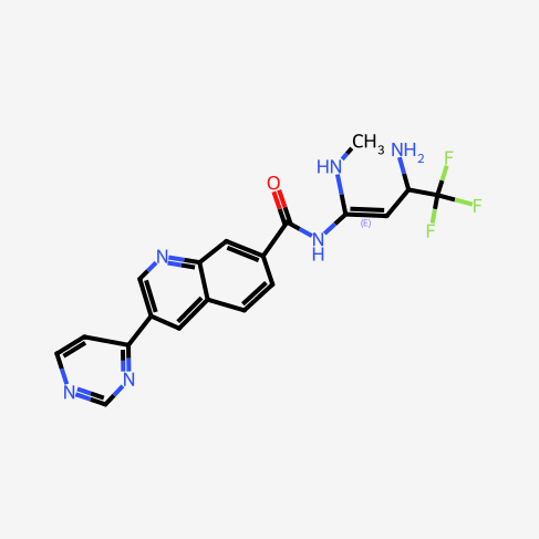 CN/C(=C\C(N)C(F)(F)F)NC(=O)c1ccc2cc(-c3ccncn3)cnc2c1